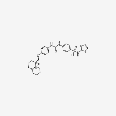 O=C(Nc1ccc(OC[C@@H]2CCCN3CCCC[C@H]23)cc1)Nc1ccc(S(=O)(=O)Nc2nccs2)cc1